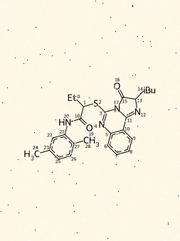 CCC(SC1=Nc2ccccc2C2=NC(C(C)CC)C(=O)N12)C(=O)Nc1cc(C)ccc1C